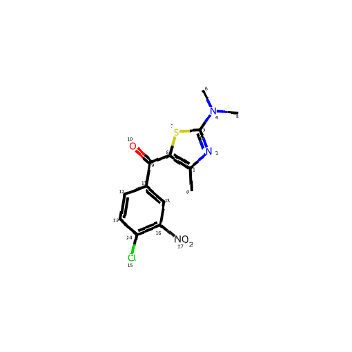 Cc1nc(N(C)C)sc1C(=O)c1ccc(Cl)c([N+](=O)[O-])c1